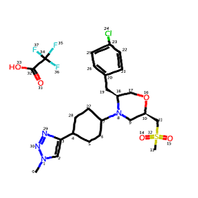 Cn1cc(C2CCC(N3C[C@H](CS(C)(=O)=O)OC[C@@H]3Cc3ccc(Cl)cc3)CC2)nn1.O=C(O)C(F)(F)F